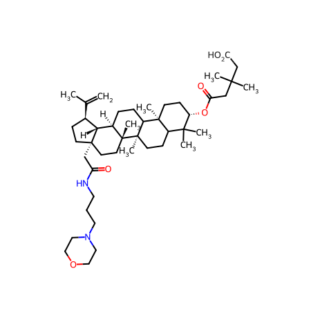 C=C(C)[C@@H]1CC[C@]2(CC(=O)NCCCN3CCOCC3)CC[C@]3(C)[C@H](CCC4[C@@]5(C)CC[C@H](OC(=O)CC(C)(C)CC(=O)O)C(C)(C)C5CC[C@]43C)[C@@H]12